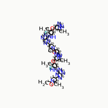 C=CC(=O)N1CC=C(c2ncc3ncnc(Nc4ccc(Oc5cc(C)n6nc(/C=C\C(=O)N7CCC(c8ncc9ncnc(Nc%10ccc(Oc%11cc(C)n%12ncnc%12c%11)c(C)c%10F)c9n8)=C[C@@H]7C)nc6c5)c(C)c4F)c3n2)C[C@@H]1C